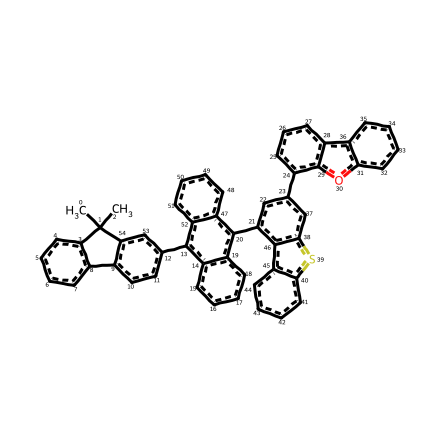 CC1(C)c2ccccc2-c2ccc(-c3c4ccccc4c(-c4cc(-c5cccc6c5oc5ccccc56)cc5sc6ccccc6c45)c4ccccc34)cc21